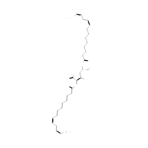 CCCCC/C=C\C/C=C\CCCCCCCC(=O)OC1=C(O)[C@@H]([C@H](CO)OC(=O)CCCCCCC/C=C\C/C=C\CCCCC)OC1=O